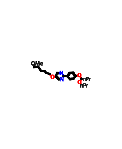 CCCOC(CCC)Oc1ccc(-c2ncc(OCCCCCCOC)cn2)cc1